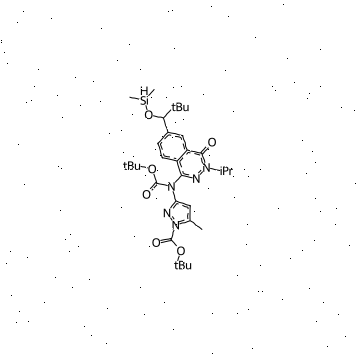 Cc1cc(N(C(=O)OC(C)(C)C)c2nn(C(C)C)c(=O)c3cc(C(O[SiH](C)C)C(C)(C)C)ccc23)nn1C(=O)OC(C)(C)C